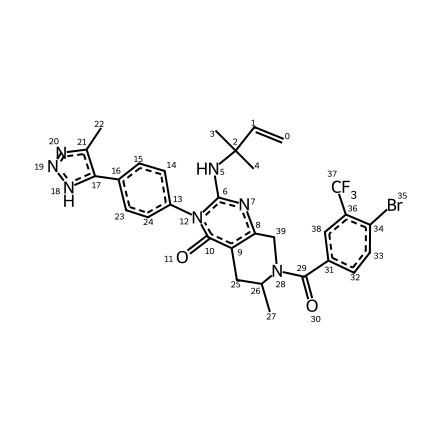 C=CC(C)(C)Nc1nc2c(c(=O)n1-c1ccc(-c3[nH]nnc3C)cc1)CC(C)N(C(=O)c1ccc(Br)c(C(F)(F)F)c1)C2